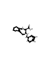 O=C(O)c1nc2ccccc2cc1OCc1ccccc1